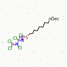 CCCCCCCCCCCCCCCCCCS/[PH](Cl)=N/P(Cl)N(Cl)P(Cl)Cl